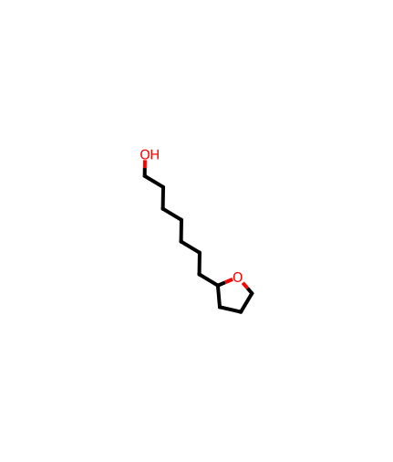 OCCCCCCCC1CCCO1